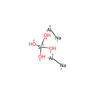 O[Si](O)(O)O.[Na][Al].[Na][Al]